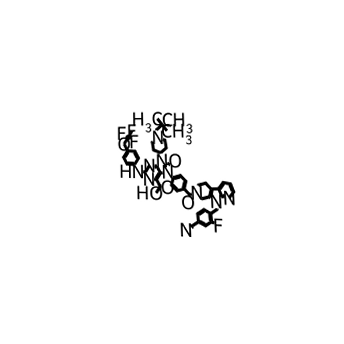 CC(C)(C)CN1CCC(n2c(=O)n(-c3ccc(C(=O)N4CCc5c(n(Cc6ccc(C#N)cc6F)c6ncccc56)C4)cc3)c3c(C(=O)O)nc(Nc4ccc(OC(F)(F)F)cc4)nc32)CC1